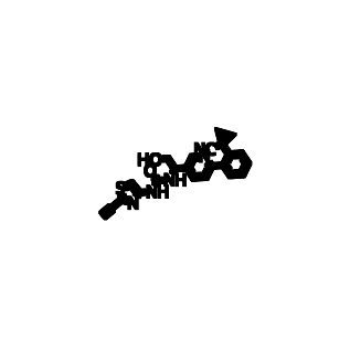 C#Cc1nc(NC(=O)NC(CO)c2ccc(-c3ccccc3C3(C#N)CC3)nc2)cs1